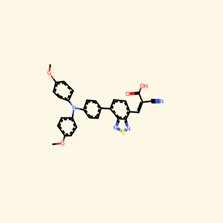 COc1ccc(N(c2ccc(OC)cc2)c2ccc(-c3ccc(C=C(C#N)C(=O)O)c4nsnc34)cc2)cc1